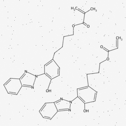 C=C(C)C(=O)OCCCCc1ccc(O)c(-n2nc3ccccc3n2)c1.C=CC(=O)OCCCc1ccc(O)c(-n2nc3ccccc3n2)c1